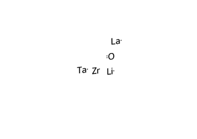 [La].[Li].[O].[Ta].[Zr]